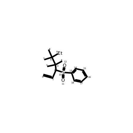 C=CC(C(C)(C)C(C)(C)CC)S(=O)(=O)c1ccccc1